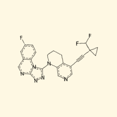 Fc1ccc2c(cnc3nnc(N4CCCc5c(C#CC6(C(F)F)CC6)cncc54)n32)c1